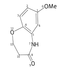 COc1ccc2c(c1)NC(=O)CCO2